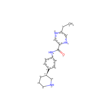 CCc1cnc(C(=O)Nc2ccc([C@@H]3CCCNC3)cc2)cn1